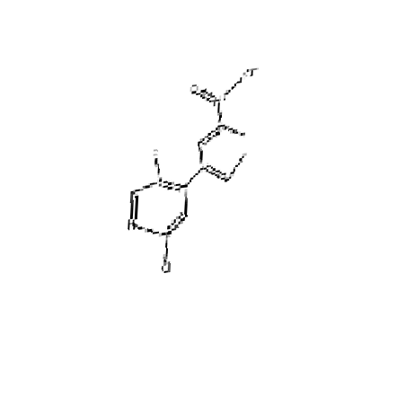 C/C=C(\C=C(/C)[N+](=O)[O-])c1cc(Cl)ncc1F